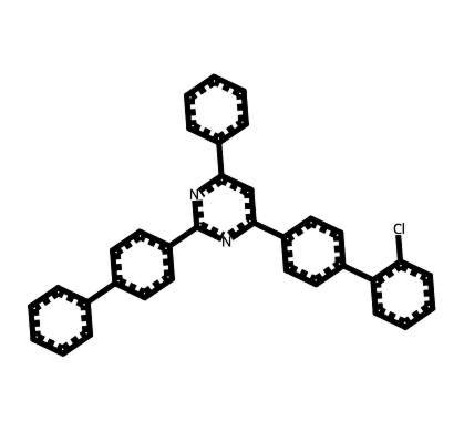 Clc1ccccc1-c1ccc(-c2cc(-c3ccccc3)nc(-c3ccc(-c4ccccc4)cc3)n2)cc1